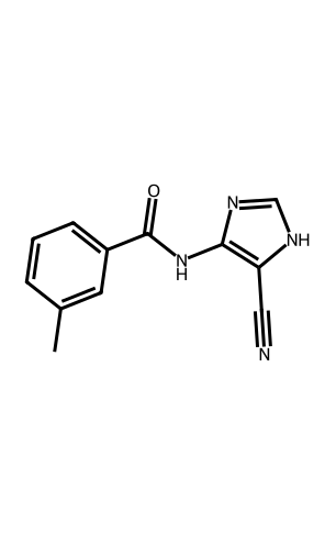 Cc1cccc(C(=O)Nc2nc[nH]c2C#N)c1